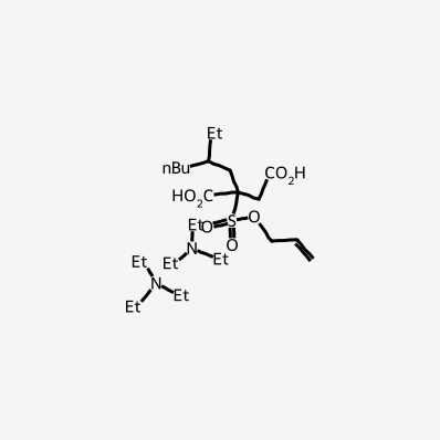 C=CCOS(=O)(=O)C(CC(=O)O)(CC(CC)CCCC)C(=O)O.CCN(CC)CC.CCN(CC)CC